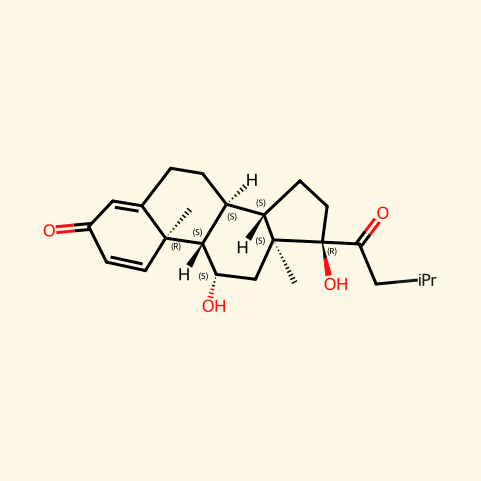 CC(C)CC(=O)[C@@]1(O)CC[C@H]2[C@@H]3CCC4=CC(=O)C=C[C@]4(C)[C@H]3[C@@H](O)C[C@@]21C